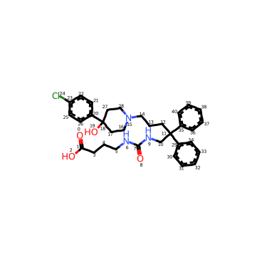 O=C(O)CCCNC(=O)NCC(CCCN1CCC(O)(c2ccc(Cl)cc2)CC1)(c1ccccc1)c1ccccc1